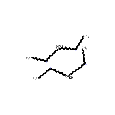 CCCCCCCC/C=C\CCCCCCCCOP(O)OCCCCCCCC/C=C\CCCCCCCC.CCCCCCCC/C=C\CCCCCCCCP(O)(O)(O)CCCCCCCC/C=C\CCCCCCCC